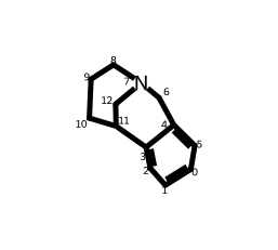 c1ccc2c(c1)CN1CCCC2C1